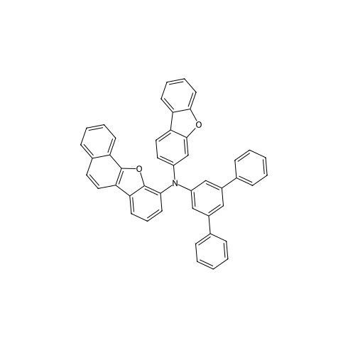 c1ccc(-c2cc(-c3ccccc3)cc(N(c3ccc4c(c3)oc3ccccc34)c3cccc4c3oc3c5ccccc5ccc43)c2)cc1